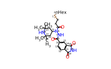 CCCCCCSCCC(=O)N(NC(=O)c1ccc2c(c1)C(=O)NC2=O)C1CC(C)(C)NC(C)(C)C1